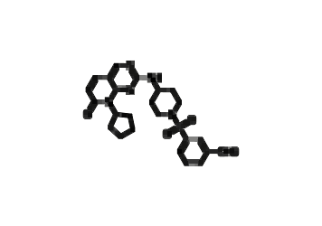 O=Cc1cccc(S(=O)(=O)N2CCC(Nc3ncc4ccc(=O)n(C5CCCC5)c4n3)CC2)c1